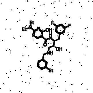 CCc1cccc(CNC[C@@H](O)[C@H](Cc2cc(F)cc(F)c2)NC(=O)c2cnc(N(CC)CC)nc2O)c1